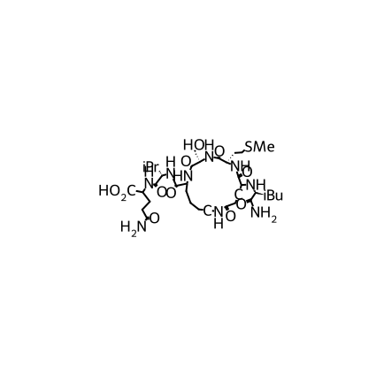 CC[C@H](C)[C@H](NC1CCC(=O)NCCCCC(C(=O)N[C@H](C(=O)NC(CCC(N)=O)C(=O)O)C(C)C)NC(=O)[C@H](CO)NC(=O)[C@H](CCSC)NC1=O)C(N)=O